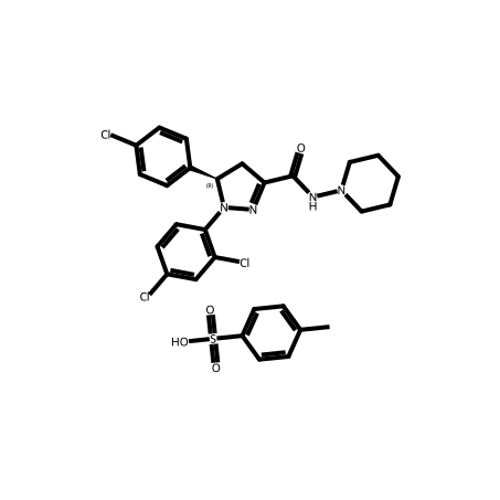 Cc1ccc(S(=O)(=O)O)cc1.O=C(NN1CCCCC1)C1=NN(c2ccc(Cl)cc2Cl)[C@@H](c2ccc(Cl)cc2)C1